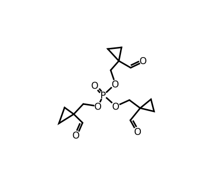 O=CC1(COP(=O)(OCC2(C=O)CC2)OCC2(C=O)CC2)CC1